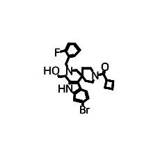 O=C(C1CCC1)N1CCC2(CC1)CN(Cc1ccccc1F)C(CO)c1[nH]c3cc(Br)ccc3c12